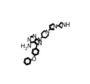 Nc1ncnc2c1c(-c1ccc(Oc3ccccc3)cc1)nn2C1CCN(c2ccn(C3CNC3)c2)CC1